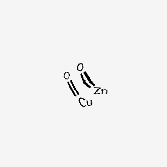 [O]=[Cu].[O]=[Zn]